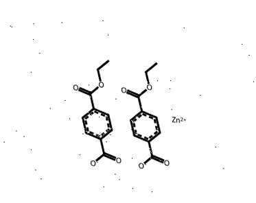 CCOC(=O)c1ccc(C(=O)[O-])cc1.CCOC(=O)c1ccc(C(=O)[O-])cc1.[Zn+2]